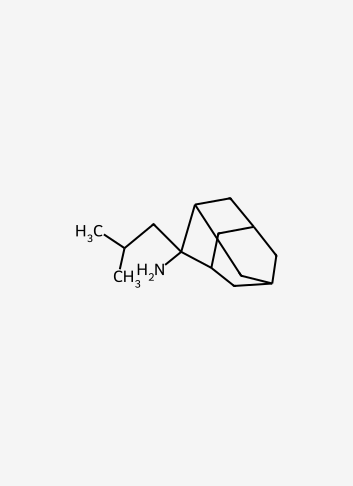 CC(C)CC1(N)C2CC3CC(C2)CC1C3